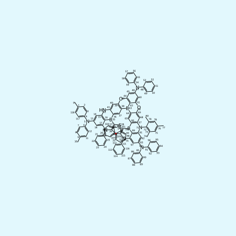 Cc1ccc(N(c2ccc(C)cc2)c2cc3c4c(c2)N(c2ccccc2)c2c(sc5ccccc25)B4c2cc4c(cc2N3)Oc2cc(N(c3ccccc3)c3ccccc3)cc3c2B4c2cc4c(cc2O3)N(c2c(C)cc(C)cc2C)c2cc(N(c3ccccc3)c3ccccc3)cc3c2B4c2sc4ccccc4c2N3c2ccccc2)cc1